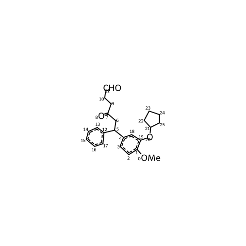 COc1ccc(C(CC(=O)CCC=O)c2ccccc2)cc1OC1CCCC1